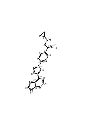 FC(F)(F)C(CNC1CC1)c1ccc(-n2cc(-c3ccnc4[nH]cnc34)cn2)nc1